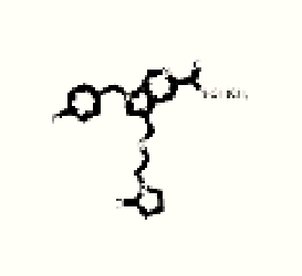 CN(O)C(=O)c1cc2c(COCCN3CCCC3=O)cn(Cc3ccc(F)cc3)c2cn1